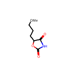 COCCCC1OC(=O)NC1=O